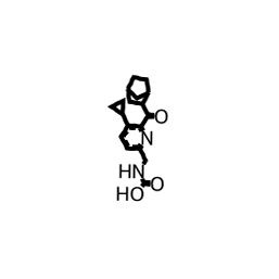 O=C(O)NCc1ccc(C2CC2)c(C(=O)C2CC3CCC2C3)n1